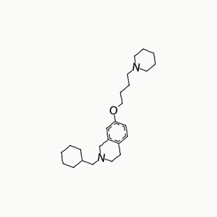 c1cc2c(cc1OCCCCN1CCCCC1)CN(CC1CCCCC1)CC2